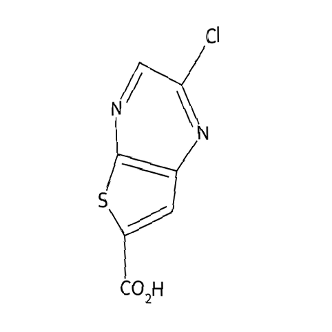 O=C(O)c1cc2nc(Cl)cnc2s1